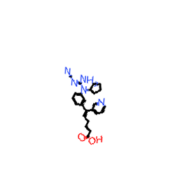 N#CN=C(N)N(c1cccc(C(=CCCCC(=O)O)c2cccnc2)c1)C1CCCC1